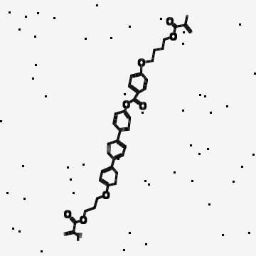 C=C(C)C(=O)OCCCCOc1ccc(C(=O)Oc2ccc(-c3ccc(C4=CC=C(OCCCOC(=O)C(=C)F)CC4)cc3)cc2)cc1